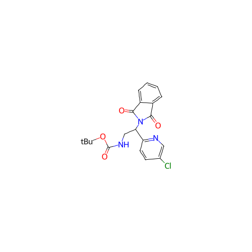 CC(C)(C)OC(=O)NCC(c1ccc(Cl)cn1)N1C(=O)c2ccccc2C1=O